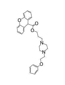 O=C(OCCCN1CCN(CCOc2ccccc2)CC1)C1c2ccccc2Oc2ccccc21